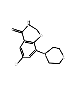 O=C1NCOc2c1cc(Cl)cc2N1CCOCC1